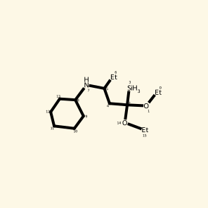 CCOC([SiH3])(CC(CC)NC1CCCCC1)OCC